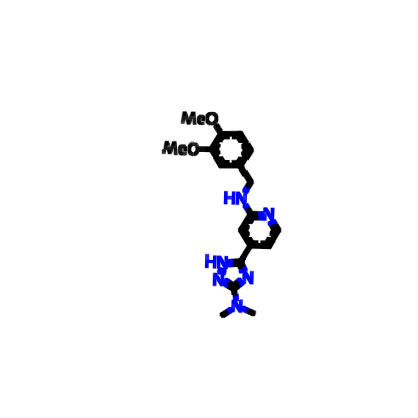 COc1ccc(CNc2cc(-c3nc(N(C)C)n[nH]3)ccn2)cc1OC